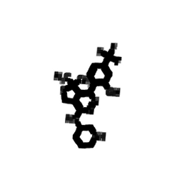 CC1(C)SCc2c(N[C@@H]3CCCNC3)nnc(-c3ccc(C(F)(F)F)cc3O)c21